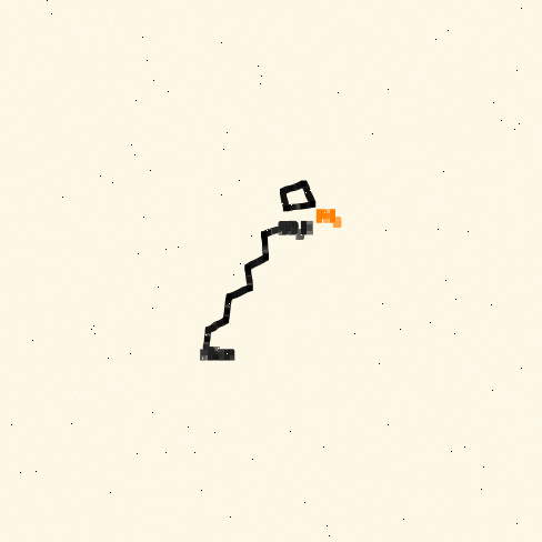 C1CCC1.CCCCCCCCCCCCCCCCS(=O)(=O)O.P